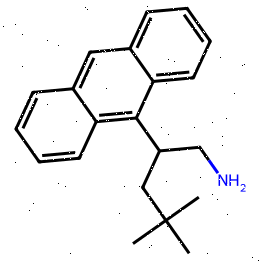 CC(C)(C)CC(CN)c1c2ccccc2cc2ccccc12